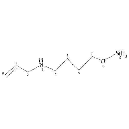 C=CCNCCCCO[SiH3]